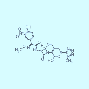 CON=C(C(=O)NC1C(=O)N2C(C(=O)O)=C(CSc3nnnn3C)CS[C@@H]12)c1ccc(O)c([N+](=O)[O-])c1